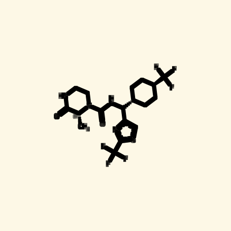 C[C@@H]1C(=O)NCCN1C(=O)NC(c1csc(C(F)(F)F)n1)[C@H]1CC[C@H](C(F)(F)F)CC1